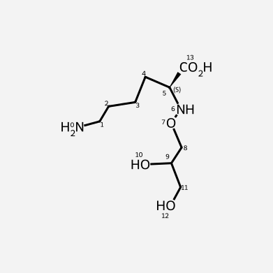 NCCCC[C@H](NOCC(O)CO)C(=O)O